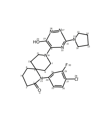 O=C1CCCC2(CCN(c3nc(N4CCCC4)nnc3O)CC2)N1c1ccc(Cl)c(F)c1